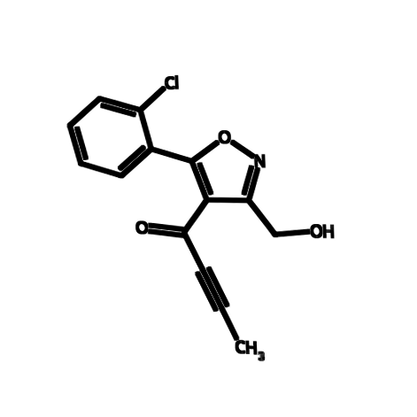 CC#CC(=O)c1c(CO)noc1-c1ccccc1Cl